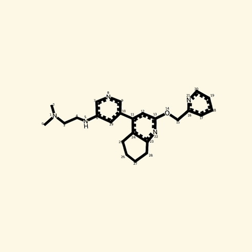 CN(C)CCNc1cncc(-c2cc(OCc3ccccn3)nc3c2CCCC3)c1